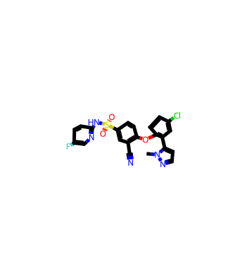 Cn1nccc1-c1cc(Cl)ccc1Oc1ccc(S(=O)(=O)Nc2ccc(F)cn2)cc1C#N